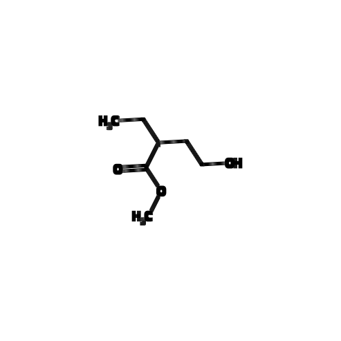 CC[C](CCO)C(=O)OC